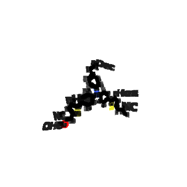 [C-]#[N+]/C(C)=C\c1cc(CCCCCC)c(-c2ccc(N(c3ccc(CCCCCCCCCCCC)cc3)c3ccc(-c4sc(/C=C(\C#N)OC=O)cc4CCCCCC)cc3)cc2)s1